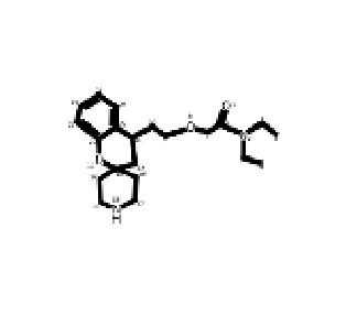 CCN(CC)C(=O)COCCC1CC2(CCNCC2)Oc2ccccc21